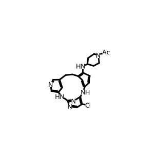 CC(=O)N1CCC(Nc2ccc3cc2CCc2cncc(c2)Nc2ncc(Cl)c(n2)N3)CC1